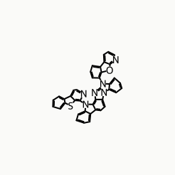 c1ccc2c(c1)sc1c(-n3c4ccccc4c4ccc5c(nc6n(-c7cccc8c7oc7ncccc78)c7ccccc7n56)c43)nccc12